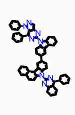 c1ccc(-c2nc(-n3c4ccc(-c5ccc6c(c5)c5ccccc5n6-c5nc(-c6ccccc6)c6c(cnn6-c6ccccc6)n5)cc4c4c5ccccc5ccc43)nc3ccccc23)cc1